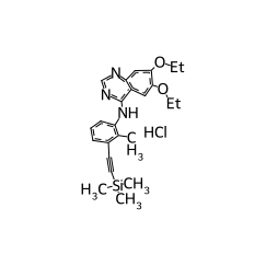 CCOc1cc2ncnc(Nc3cccc(C#C[Si](C)(C)C)c3C)c2cc1OCC.Cl